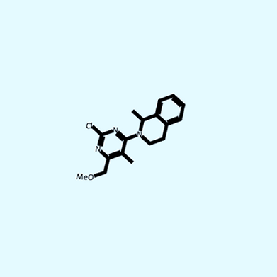 COCc1nc(Cl)nc(N2CCc3ccccc3C2C)c1C